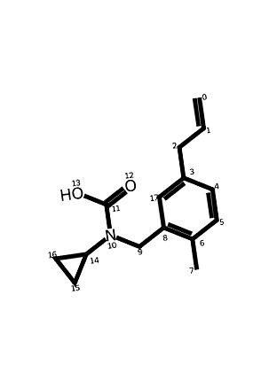 C=CCc1ccc(C)c(CN(C(=O)O)C2CC2)c1